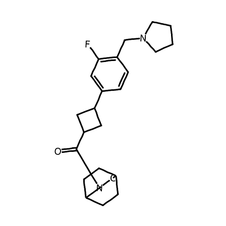 O=C(C1CC(c2ccc(CN3CCCC3)c(F)c2)C1)N1CC2CCC(CC2)C1